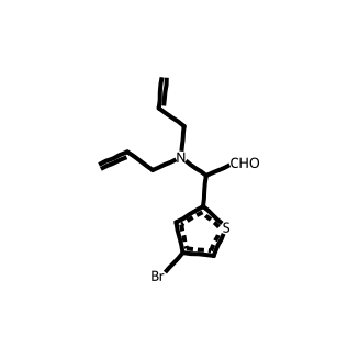 C=CCN(CC=C)C(C=O)c1cc(Br)cs1